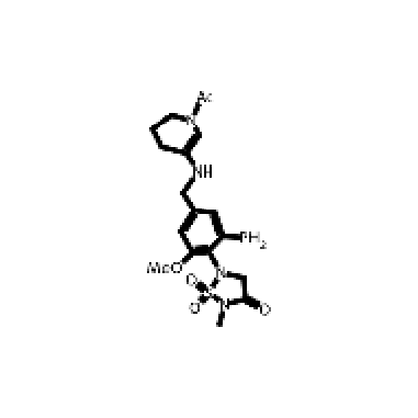 COc1cc(CNC2=CN(C(C)=O)CCC2)cc(P)c1N1CC(=O)N(C)S1(=O)=O